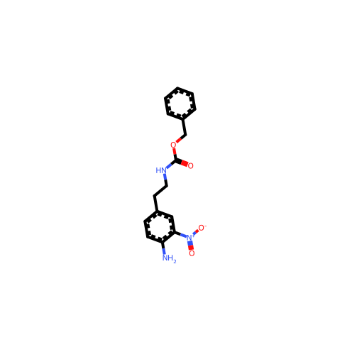 Nc1ccc(CCNC(=O)OCc2ccccc2)cc1[N+](=O)[O-]